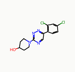 OC1CCN(c2ncc(-c3ccc(Cl)cc3Cl)nn2)CC1